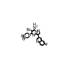 Nc1c(Br)c(N2CCS(=O)(=O)CC2)nc2c(-c3cnc4ccc(F)cc4c3)cnn12